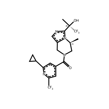 C[C@H]1CN(C(=O)c2cc(C3CC3)nc(C(F)(F)F)c2)Cc2cnc([C@@](C)(O)C(F)(F)F)n21